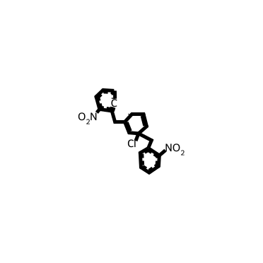 O=[N+]([O-])c1ccccc1CC1=CC(Cl)(Cc2ccccc2[N+](=O)[O-])C=C[CH]1